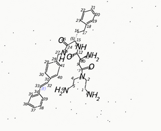 NCCN(CCN)C(=O)C[C@H](N)C(=O)N[C@@H](CCc1ccccc1)C(=O)NCc1ccc(/C=C/c2ccccc2)cc1